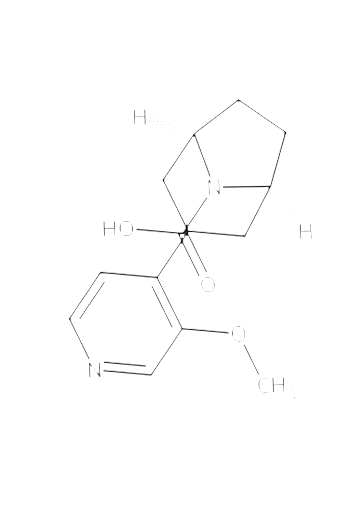 COc1cnccc1C1C[C@H]2CC[C@@H](C1)N2C(=O)O